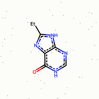 CCc1nc2c(=O)[nH]cnc2[nH]1